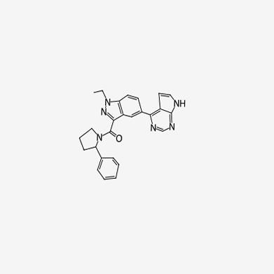 CCn1nc(C(=O)N2CCCC2c2ccccc2)c2cc(-c3ncnc4[nH]ccc34)ccc21